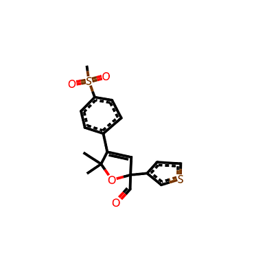 CC1(C)OC(C=O)(c2ccsc2)C=C1c1ccc(S(C)(=O)=O)cc1